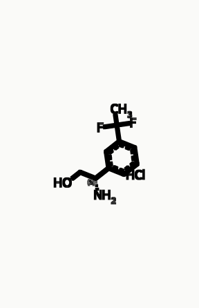 CC(F)(F)c1cccc([C@H](N)CO)c1.Cl